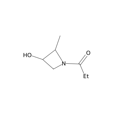 CCC(=O)N1CC(O)C1C